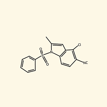 [C-]#[N+]c1ccc2c(cc(C)n2S(=O)(=O)c2ccccc2)c1Cl